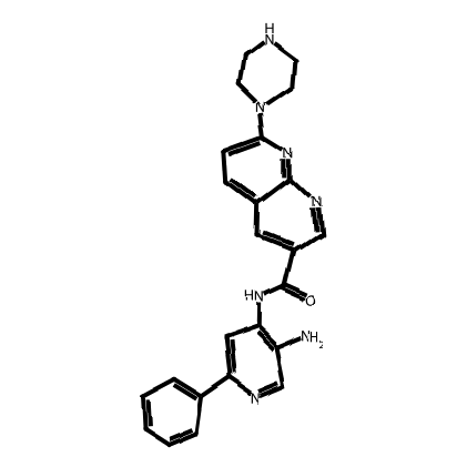 Nc1cnc(-c2ccccc2)cc1NC(=O)c1cnc2nc(N3CCNCC3)ccc2c1